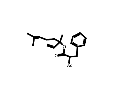 C=CC(C)(CCC=C(C)C)OC(=O)C(Cc1ccccc1)C(C)=O